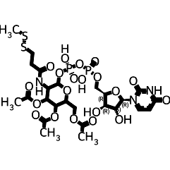 CSSCCC(=O)NC1C(OP(=O)(O)OP(=O)(O)OC[C@H]2O[C@@H](n3ccc(=O)[nH]c3=O)[C@@H](O)[C@H]2O)OC(COC(C)=O)C(OC(C)=O)C1OC(C)=O